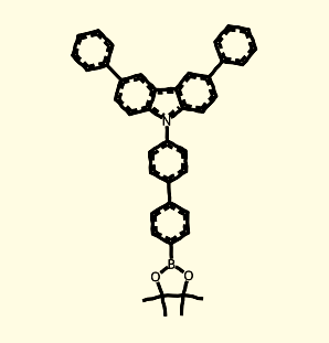 CC1(C)OB(c2ccc(-c3ccc(-n4c5ccc(-c6ccccc6)cc5c5cc(-c6ccccc6)ccc54)cc3)cc2)OC1(C)C